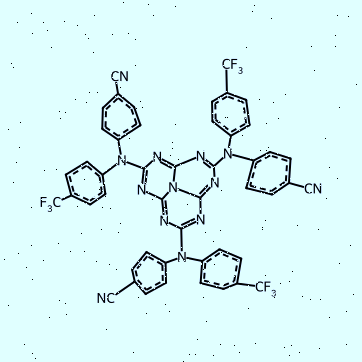 N#Cc1ccc(N(C2=NC3=NC(N(c4ccc(C#N)cc4)c4ccc(C(F)(F)F)cc4)=NC4=NC(N(c5ccc(C#N)cc5)c5ccc(C(F)(F)F)cc5)=NC(=N2)N34)c2ccc(C(F)(F)F)cc2)cc1